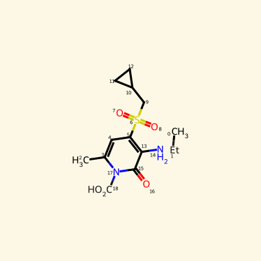 CCC.Cc1cc(S(=O)(=O)CC2CC2)c(N)c(=O)n1C(=O)O